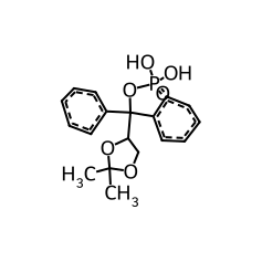 CC1(C)OCC(C(OP(=O)(O)O)(c2ccccc2)c2ccccc2)O1